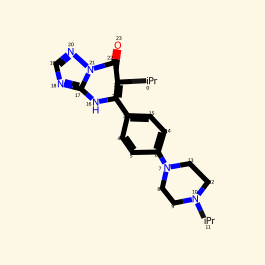 CC(C)c1c(-c2ccc(N3CCN(C(C)C)CC3)cc2)[nH]c2ncnn2c1=O